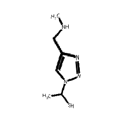 CNCc1cn(C(C)S)nn1